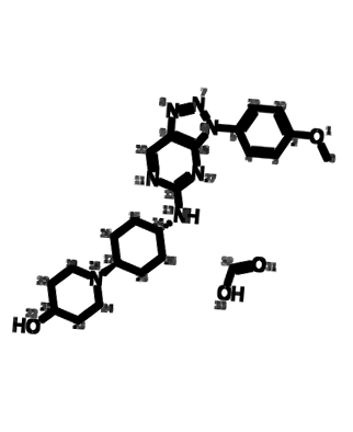 COc1ccc(-n2nnc3cnc(N[C@H]4CC[C@H](N5CCC(O)CC5)CC4)nc32)cc1.O=CO